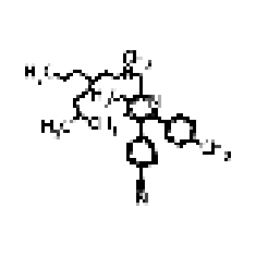 CCCC(CCC(C)C)CCN(C)Cc1nc(-c2ccc(C)cc2)c(-c2ccc(C#N)cc2)cc1C